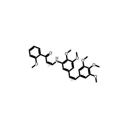 COc1ccccc1C(=O)/C=C\Nc1cc(/C=C\c2cc(OC)c(OC)c(OC)c2)cc(OC)c1OC